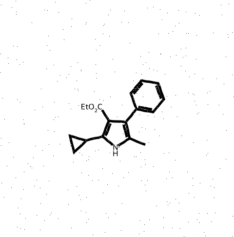 CCOC(=O)c1c(C2CC2)[nH]c(C)c1-c1ccccc1